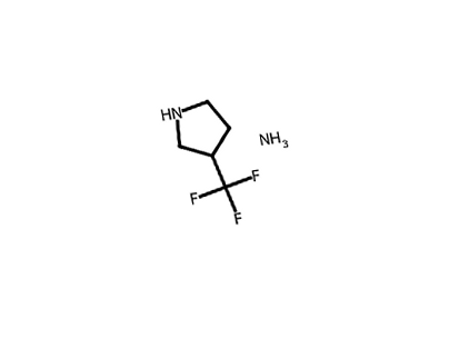 FC(F)(F)C1CCNC1.N